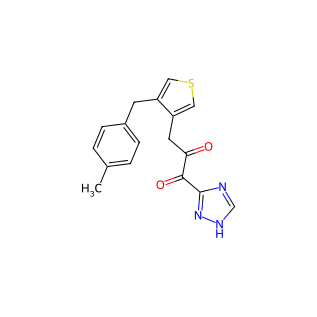 Cc1ccc(Cc2cscc2CC(=O)C(=O)c2nc[nH]n2)cc1